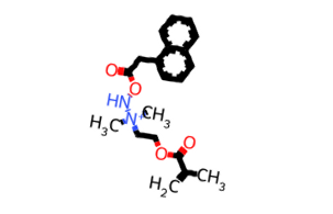 C=C(C)C(=O)OCC[N+](C)(C)NOC(=O)Cc1cccc2ccccc12